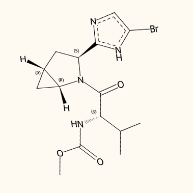 COC(=O)N[C@H](C(=O)N1[C@@H]2C[C@@H]2C[C@H]1c1ncc(Br)[nH]1)C(C)C